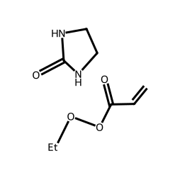 C=CC(=O)OOCC.O=C1NCCN1